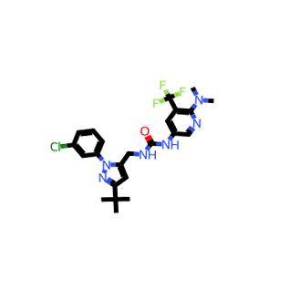 CN(C)c1ncc(NC(=O)NCc2cc(C(C)(C)C)nn2-c2cccc(Cl)c2)cc1C(F)(F)F